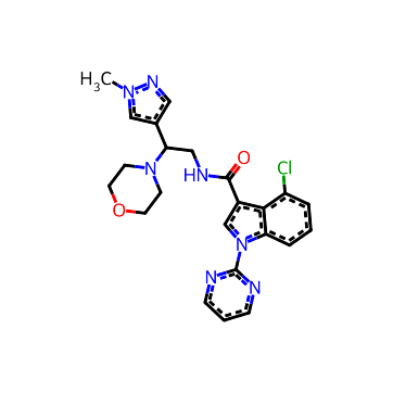 Cn1cc(C(CNC(=O)c2cn(-c3ncccn3)c3cccc(Cl)c23)N2CCOCC2)cn1